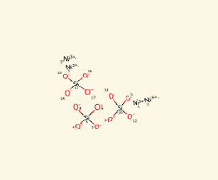 [Ni+3].[Ni+3].[Ni+3].[Ni+3].[O-][Si]([O-])([O-])[O-].[O-][Si]([O-])([O-])[O-].[O-][Si]([O-])([O-])[O-]